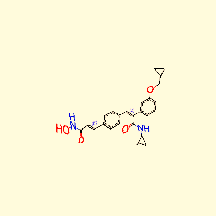 O=C(/C=C/c1ccc(/C=C(\C(=O)NC2CC2)c2cccc(OCC3CC3)c2)cc1)NO